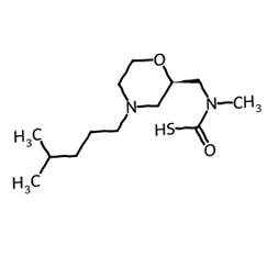 CC(C)CCCN1CCO[C@@H](CN(C)C(=O)S)C1